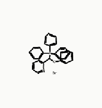 [Br-].c1ccc(OC(c2ccccn2)[P+](c2ccccc2)(c2ccccc2)c2ccccc2)cc1